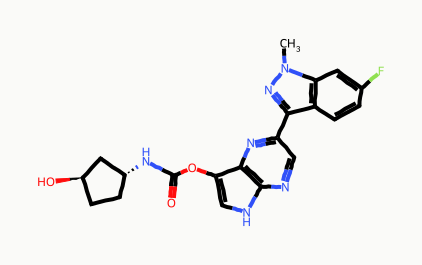 Cn1nc(-c2cnc3[nH]cc(OC(=O)N[C@@H]4CC[C@@H](O)C4)c3n2)c2ccc(F)cc21